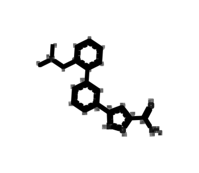 CN(C)Cc1ccccc1-c1cccc(-c2cc(C(N)=O)on2)c1